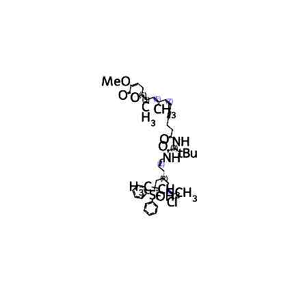 COC1=CC[C@@H]([C@@H](C)/C=C(C)/C=C\C#CCCC(=O)N[C@H](C(=O)N/C=C\C[C@H](C/C=C(\C)Cl)CC(C)(C)[Si](O)(c2ccccc2)c2ccccc2)C(C)(C)C)OC1=O